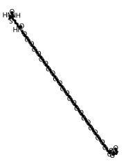 O=C(CCCCC1SCC2NC(=O)NC21)NCCOCCOCCOCCOCCOCCOCCOCCOCCOCCOCCOCCOCCOCCOCCOCCOCCOCCOCCOCCOCCOCCOCCOCCOCCC(=O)ON1C(=O)CCC1=O